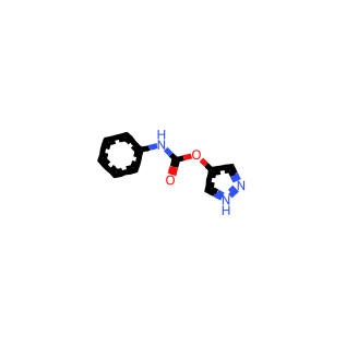 O=C(Nc1ccccc1)Oc1cn[nH]c1